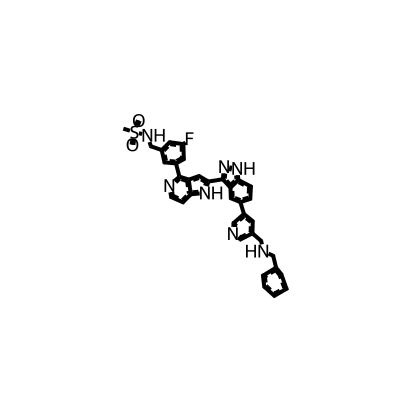 CS(=O)(=O)NCc1cc(F)cc(-c2nccc3[nH]c(-c4n[nH]c5ccc(-c6cncc(CNCc7ccccc7)c6)cc45)cc23)c1